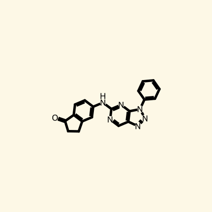 O=C1CCc2cc(Nc3ncc4nnn(-c5ccccc5)c4n3)ccc21